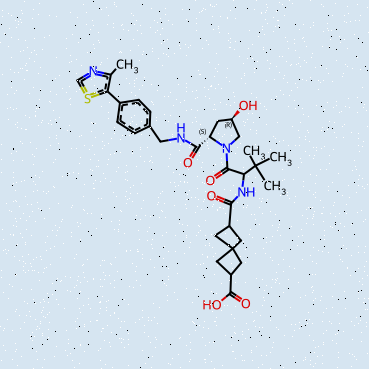 Cc1ncsc1-c1ccc(CNC(=O)[C@@H]2C[C@@H](O)CN2C(=O)C(NC(=O)C2CC3(CC(C(=O)O)C3)C2)C(C)(C)C)cc1